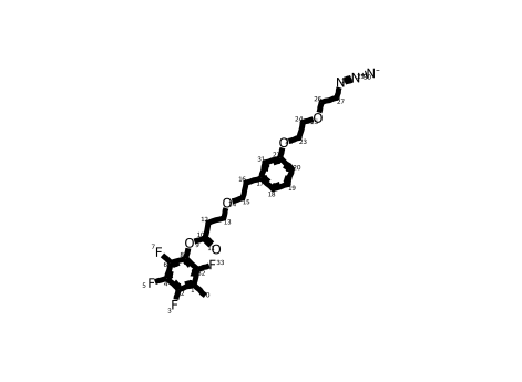 Cc1c(F)c(F)c(F)c(OC(=O)CCOCCc2cccc(OCCOCCN=[N+]=[N-])c2)c1F